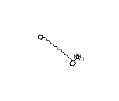 c1ccc(CCCCCCCCCCCCCCCc2ccccc2-c2nnn[nH]2)cc1